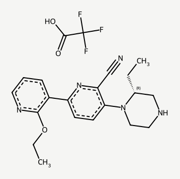 CCOc1ncccc1-c1ccc(N2CCNC[C@H]2CC)c(C#N)n1.O=C(O)C(F)(F)F